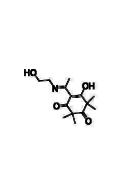 CC(=NCCO)C1=C(O)C(C)(C)C(=O)C(C)(C)C1=O